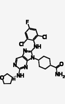 NC(=O)C1CCC(n2c(Nc3c(Cl)cc(F)cc3Cl)nc3cnc(N[C@@H]4CCOC4)nc32)CC1